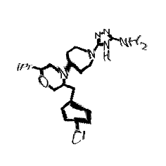 CC(C)C1CN(C2CCN(c3nnc(N)[nH]3)CC2)C(Cc2ccc(Cl)cc2)CO1